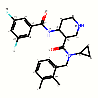 Cc1cccc(CN(C(=O)C2CNCCC2NC(=O)c2cc(F)cc(F)c2)C2CC2)c1C